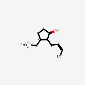 CC/C=C\CC1C(=O)CCC1CC(=O)OCC